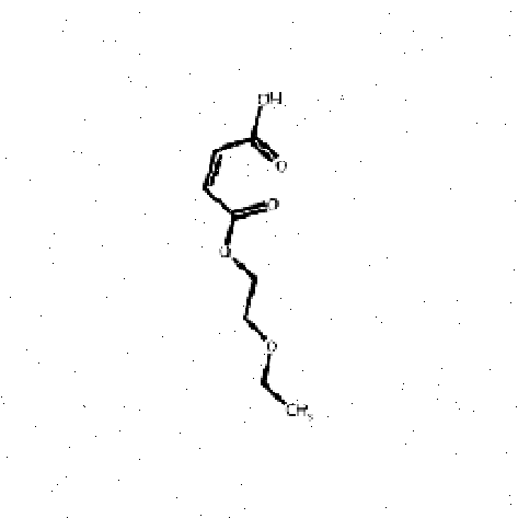 CCOCCOC(=O)/C=C\C(=O)O